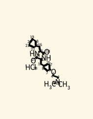 CN(C)CCOc1ccc(/C=c2\[nH]c(=O)/c(=C/c3ccccc3)[nH]c2=O)cc1.Cl